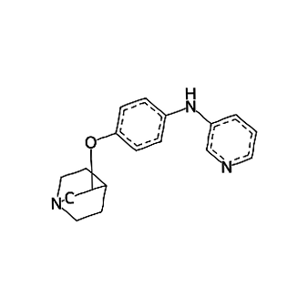 c1cncc(Nc2ccc(OC3CN4CCC3CC4)cc2)c1